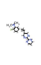 CN(C)c1cc([C@@H]2C[C@H]2c2cnc(-c3ncccn3)nc2)ccc1F